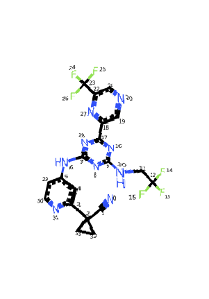 N#CC1(c2cc(Nc3nc(NCC(F)(F)F)nc(-c4cncc(C(F)(F)F)n4)n3)ccn2)CC1